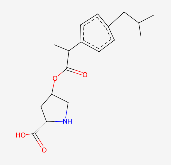 CC(C)Cc1ccc(C(C)C(=O)OC2CN[C@H](C(=O)O)C2)cc1